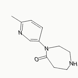 Cc1ccc(N2CCNCCC2=O)cn1